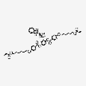 C=CC(=O)OCCCCCCOc1ccc(C(=O)Oc2ccc(OC(=O)c3ccc(OCCCCCCOC(=O)C=C)cc3)c(/C(C)=N/Nc3nc4ccccc4s3)c2)cc1